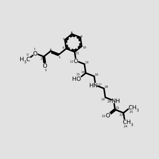 COC(=O)C=Cc1ccccc1OCC(O)CNCCNC(=O)C(C)C